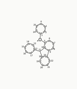 c1ccc(Oc2cccc3c2C(c2ccccc2)c2ccccc2-3)cc1